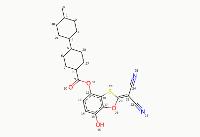 CC1CCC(C2CCC(C(=O)Oc3ccc(O)c4c3SC(=C(C#N)C#N)O4)CC2)CC1